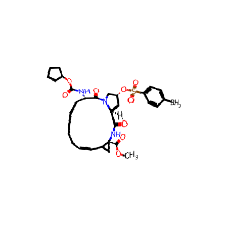 Bc1ccc(S(=O)(=O)O[C@@H]2C[C@H]3C(=O)N[C@]4(C(=O)OC)CC4/C=C\CCCCC[C@H](NC(=O)OC4CCCC4)C(=O)N3C2)cc1